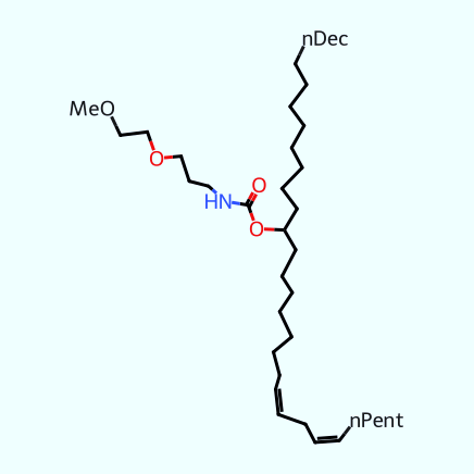 CCCCC/C=C\C/C=C\CCCCCCCC(CCCCCCCCCCCCCCCCCC)OC(=O)NCCCOCCOC